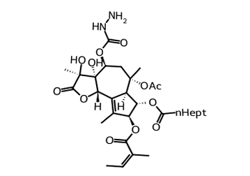 C/C=C(/C)C(=O)O[C@H]1C(C)=C2[C@H]([C@@H]1OC(=O)CCCCCCC)[C@@](C)(OC(C)=O)C[C@H](OC(=O)NN)[C@@]1(O)[C@H]2OC(=O)[C@@]1(C)O